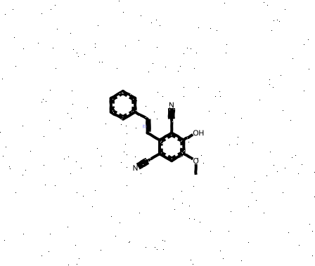 COc1cc(C#N)c(/C=C/c2ccccc2)c(C#N)c1O